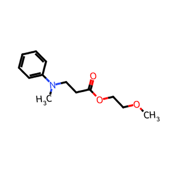 COCCOC(=O)CCN(C)c1ccccc1